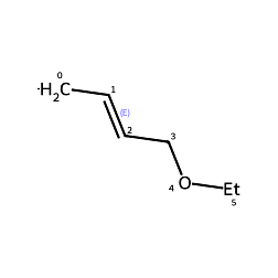 [CH2]/C=C/COCC